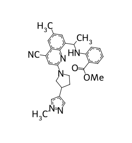 COC(=O)c1ccccc1NC(C)c1cc(C)cc2c(C#N)cc(N3CCC(c4cnn(C)c4)C3)nc12